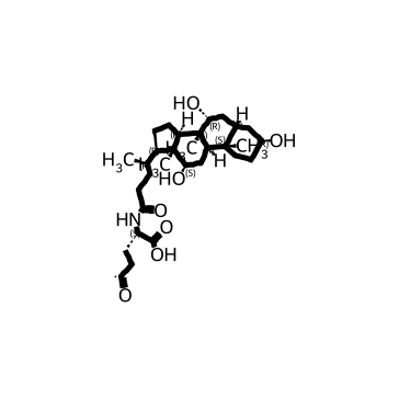 C[C@H](CCC(=O)N[C@@H](CC[C]=O)C(=O)O)[C@H]1CC[C@@H]2[C@]1(C)[C@@H](O)C[C@@H]1[C@@]3(C)CC[C@@H](O)C[C@H]3C[C@@H](O)[C@@]21C